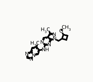 COC1CCC1Cn1nc(C)c2cnc(Nc3cn4ncnc4cc3C)nc21